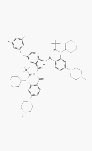 CN1CCN(c2ccc(C(=O)Nc3nn(C(=O)c4ccc(N5CCN(C)CC5)cc4N(C(=O)C(F)(F)F)C4CCOCC4)c4ncc(Sc5cc(F)cc(F)c5)nc34)c(N(C(=O)C(F)(F)F)C3CCOCC3)c2)CC1